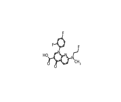 CN(CCF)c1ccc2c(=O)c(C(=O)O)cn(-c3ccc(F)cc3F)c2n1